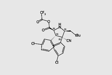 CC(C)(C)C[C@@H]1N[C@H](C(=O)OC(=O)C(F)(F)F)[C@@H](c2cccc(Cl)c2)[C@]1(C#N)c1ccc(Cl)cc1